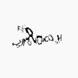 NNC(=O)c1cc(C(F)(F)F)ccc1CN1CCN(C(=O)O)CC1